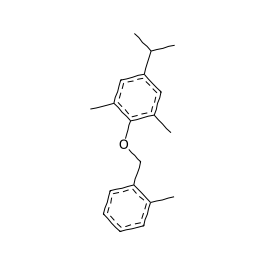 Cc1ccccc1COc1c(C)cc(C(C)C)cc1C